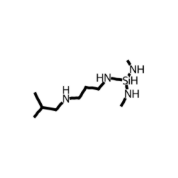 CN[SiH](NC)NCCCNCC(C)C